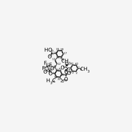 Cc1ccc(S(=O)(=O)Oc2c(CC=Cc3c(C)cccc3C(=O)O)c(OS(=O)(=O)C(F)(F)F)c(C)c3c2C(=O)OC3)cc1